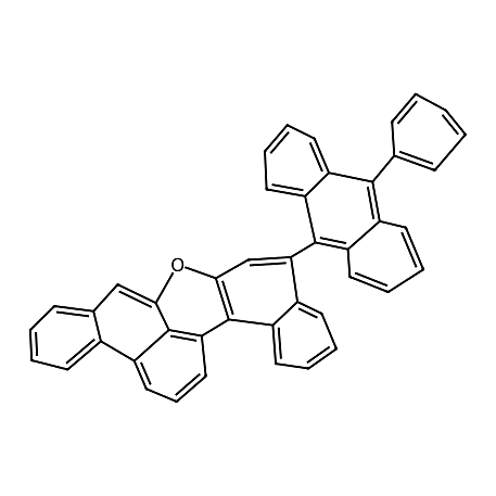 c1ccc(-c2c3ccccc3c(-c3cc4c(c5ccccc35)-c3cccc5c3c(cc3ccccc35)O4)c3ccccc23)cc1